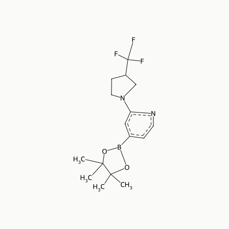 CC1(C)OB(c2ccnc(N3CCC(C(F)(F)F)C3)c2)OC1(C)C